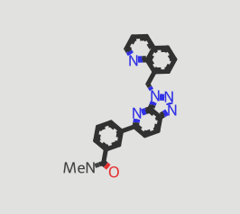 CNC(=O)c1cccc(-c2ccc3nnn(Cc4cccc5cccnc45)c3n2)c1